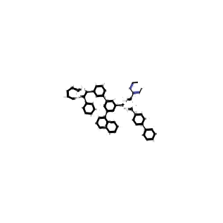 C/C=C\C(=C/C)c1nc(-c2ccc(-c3ccccc3)cc2)nc(-c2cc(-c3cccc(-c4nc5ccccn5c4-c4ccccc4)c3)cc(-c3cccc4ccccc34)c2)n1